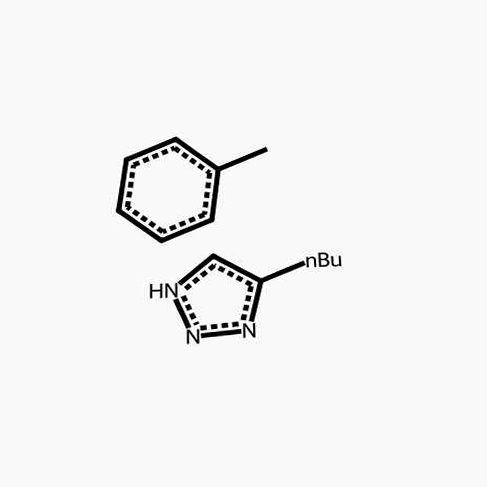 CCCCc1c[nH]nn1.Cc1ccccc1